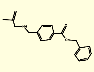 C=C(C)CNCc1ccc(C(=O)OCc2ccccc2)cc1